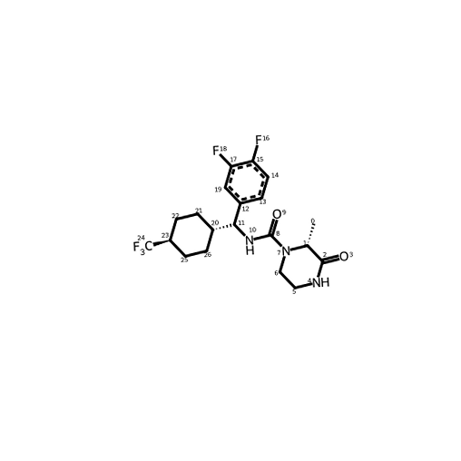 C[C@@H]1C(=O)NCCN1C(=O)NC(c1ccc(F)c(F)c1)[C@H]1CC[C@H](C(F)(F)F)CC1